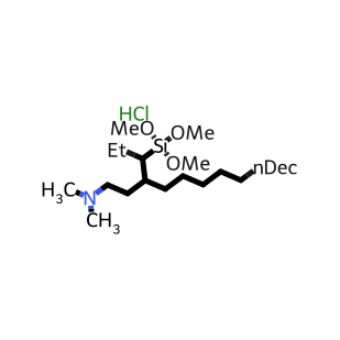 CCCCCCCCCCCCCCCC(CCN(C)C)C(CC)[Si](OC)(OC)OC.Cl